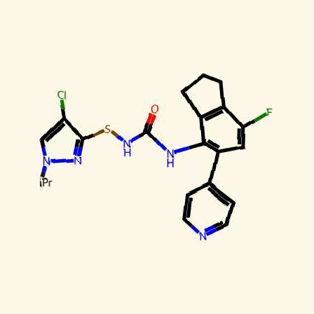 CC(C)n1cc(Cl)c(SNC(=O)Nc2c(-c3ccncc3)cc(F)c3c2CCC3)n1